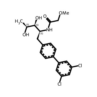 COCC(=O)N[C@@H](Cc1ccc(-c2cc(Cl)cc(Cl)c2)cc1)[C@H](O)[C@H](C)O